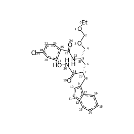 CCOCOC[C@H](C[C@H](Cc1csc2ccccc12)C(=O)NO)NC(=O)c1ccc(Cl)cc1